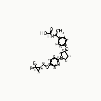 CC(NC(=O)O)c1ccc(OC2CCN(c3ccc(OC[C@H]4CC4(F)F)cn3)C2)cc1